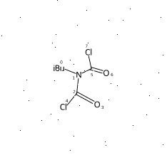 CCC(C)N(C(=O)Cl)C(=O)Cl